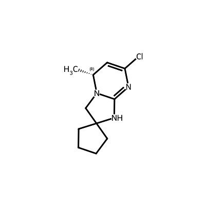 C[C@@H]1C=C(Cl)N=C2NC3(CCCC3)CN21